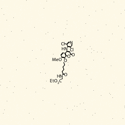 CCOC(=O)CNC(=O)CCCCCOc1c(OC)ccc2c(Nc3c(Cl)cncc3Cl)cc(=O)oc12